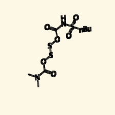 CCCCS(=O)(=O)NC(=O)OSSOC(=O)N(C)C